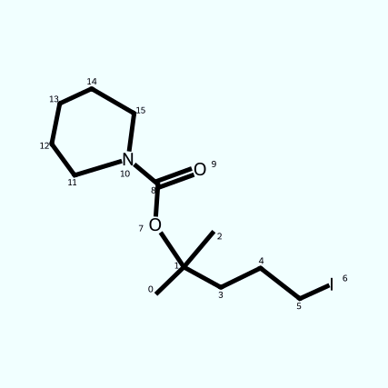 CC(C)(CCCI)OC(=O)N1CCCCC1